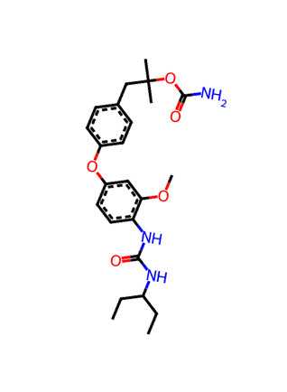 CCC(CC)NC(=O)Nc1ccc(Oc2ccc(CC(C)(C)OC(N)=O)cc2)cc1OC